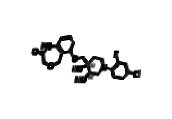 O=C1COCc2c(cccc2OC[C@]2(O)CCN(c3ccc(Cl)cc3F)C[C@H]2O)N1